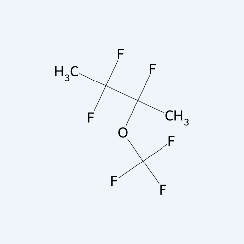 CC(F)(F)C(C)(F)OC(F)(F)F